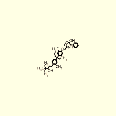 CCC(CC)(c1ccc(CCC(O)C(C)(C)C)c(C)c1)c1ccc(OCC(=O)N[C@H](C(=O)O)c2ccccc2)c(C)c1